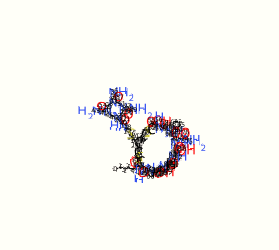 CCCCCC(=O)N[C@H]1CSCc2cc(CSCCNC(=O)CN3CCN(CC(N)=O)CCN(CC(N)=O)CCN(CC(N)=O)CC3)cc(c2)CSCC(C(=O)O)NC(=O)[C@H](Cc2ccccc2)NC(=O)[C@H](CCC(N)=O)NC(=O)[C@H]([C@@H](C)O)NC(=O)[C@@H]2CCCN2C(O)[C@@H]2CCCN2C1=O